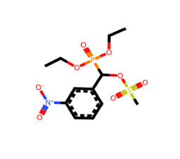 CCOP(=O)(OCC)C(OS(C)(=O)=O)c1cccc([N+](=O)[O-])c1